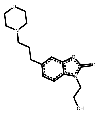 O=c1oc2cc(CCCN3CCOCC3)ccc2n1CCO